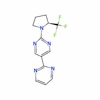 FC(F)(F)[C@@H]1CCCN1c1ncc(-c2ncccn2)cn1